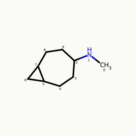 CNC1CCC2CC2CC1